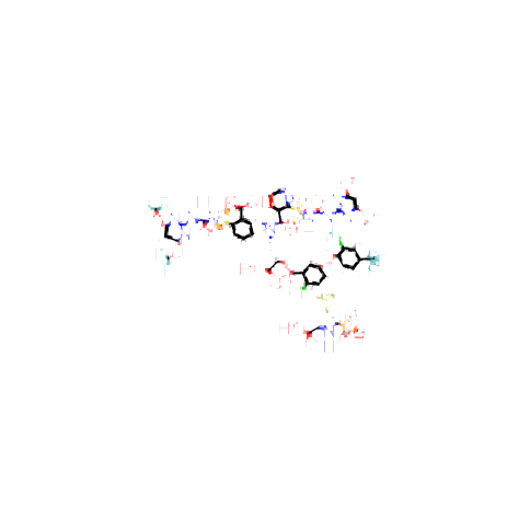 COc1cc(OC)nc(NC(=O)NS(=O)(=O)c2ncccc2C(=O)N(C)C)n1.C[C@H](OC(=O)c1cc(Oc2ccc(C(F)(F)F)cc2Cl)ccc1Cl)C(=O)O.C[S+](C)C.O=C(Nc1nc(OC(F)F)cc(OC(F)F)n1)NS(=O)(=O)c1ccccc1C(=O)O.O=C(O)CNCP(=O)([O-])O